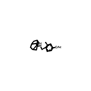 CC(=O)Oc1ccc(CNC23CC4CC(CC(C4)C2)C3)c(C)c1